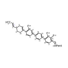 C/C=C/C1CC=C(c2ccc(-c3ccc(-c4ccc(OCCCCC)c(F)c4F)cc3)cc2F)CC1